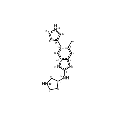 Cc1cc2nc(NC3CCNC3)nn2cc1-c1cn[nH]c1